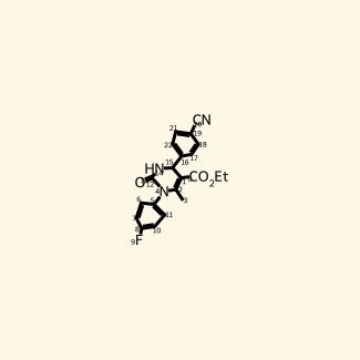 CCOC(=O)C1=C(C)N(c2ccc(F)cc2)C(=O)NC1c1ccc(C#N)cc1